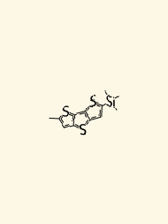 Cc1cc2sc3cc([Si](C)(C)C)sc3c2s1